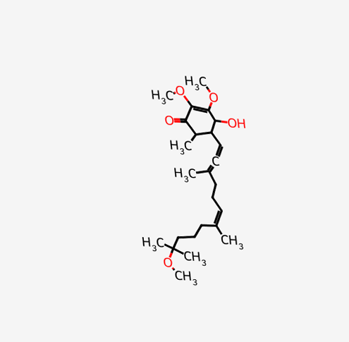 COC1=C(OC)C(O)C(C=C=C(C)CCC=C(C)CCCC(C)(C)OC)C(C)C1=O